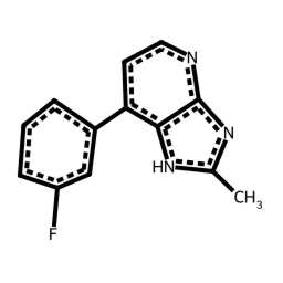 Cc1nc2nccc(-c3cccc(F)c3)c2[nH]1